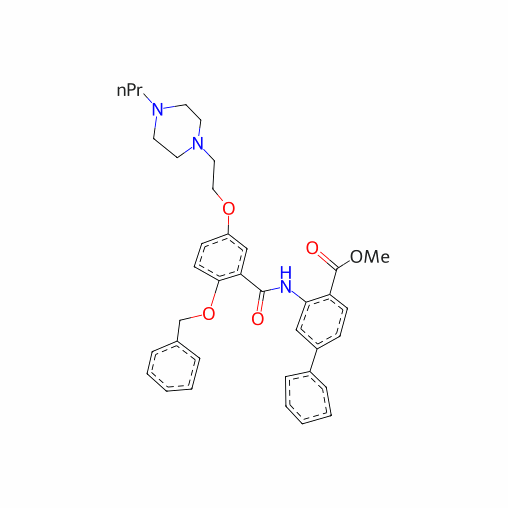 CCCN1CCN(CCOc2ccc(OCc3ccccc3)c(C(=O)Nc3cc(-c4ccccc4)ccc3C(=O)OC)c2)CC1